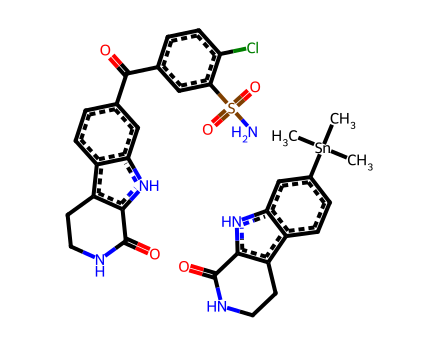 NS(=O)(=O)c1cc(C(=O)c2ccc3c4c([nH]c3c2)C(=O)NCC4)ccc1Cl.[CH3][Sn]([CH3])([CH3])[c]1ccc2c3c([nH]c2c1)C(=O)NCC3